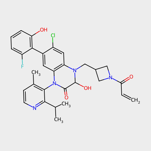 C=CC(=O)N1CC(CN2c3cc(Cl)c(-c4c(O)cccc4F)cc3N(c3c(C)ccnc3C(C)C)C(=O)C2O)C1